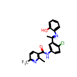 C/C(=N\c1ccccc1O)c1cc(NC(=O)c2ccc(C(F)(F)F)nc2C)ccc1Cl